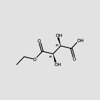 CCOC(=O)[C@H](O)[C@@H](O)C(=O)O